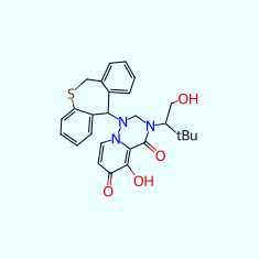 CC(C)(C)C(CO)N1CN(C2c3ccccc3CSc3ccccc32)n2ccc(=O)c(O)c2C1=O